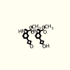 COC(=O)c1c[nH]c2ccc(C3CC(=O)C3)cc12.COC(=O)c1c[nH]c2ccc(C3CC(O)C3)cc12